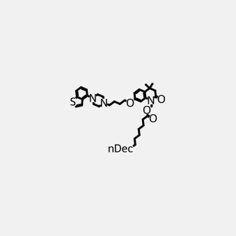 CCCCCCCCCCCCCCCCC(=O)OCN1C(=O)CC(C)(C)c2ccc(OCCCCN3CCN(c4cccc5sccc45)CC3)cc21